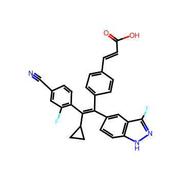 N#Cc1ccc(/C(=C(\c2ccc(/C=C/C(=O)O)cc2)c2ccc3[nH]nc(F)c3c2)C2CC2)c(F)c1